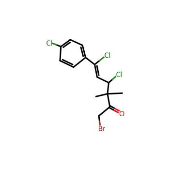 CC(C)(C(=O)CBr)C(Cl)C=C(Cl)c1ccc(Cl)cc1